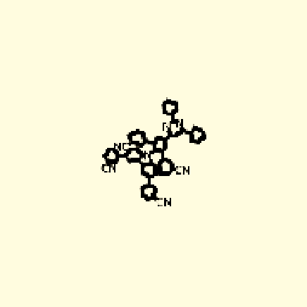 N#Cc1cccc(-c2ccc3c(c2)c2cc(-c4cccc(C#N)c4)ccc2n3-c2c(-c3cccc(C#N)c3)cc(-c3cc(-c4ccccc4)nc(-c4ccccc4)n3)cc2-c2cccc(C#N)c2)c1